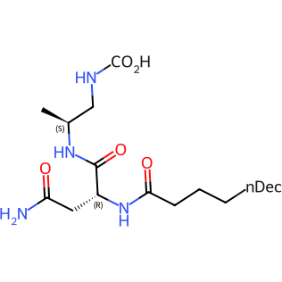 CCCCCCCCCCCCCC(=O)N[C@H](CC(N)=O)C(=O)N[C@@H](C)CNC(=O)O